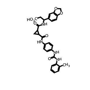 Cc1ccccc1NC(=O)Nc1ccc(NC(=O)C2CC2C(=O)NC(CC(=O)O)c2ccc3c(c2)OCO3)cc1